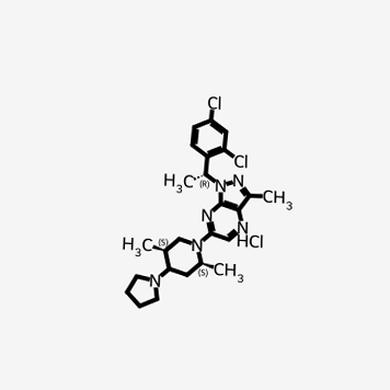 Cc1nn([C@H](C)c2ccc(Cl)cc2Cl)c2nc(N3C[C@H](C)C(N4CCCC4)C[C@@H]3C)cnc12.Cl